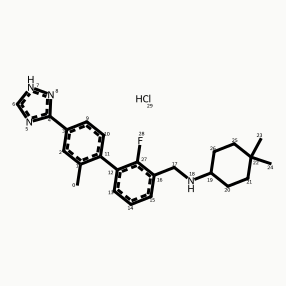 Cc1cc(-c2nc[nH]n2)ccc1-c1cccc(CNC2CCC(C)(C)CC2)c1F.Cl